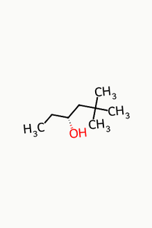 CC[C@@H](O)CC(C)(C)C